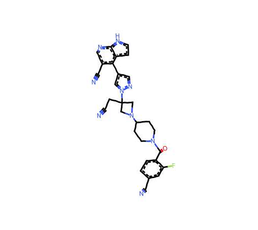 N#CCC1(n2cc(-c3c(C#N)cnc4[nH]ccc34)cn2)CN(C2CCN(C(=O)c3ccc(C#N)cc3F)CC2)C1